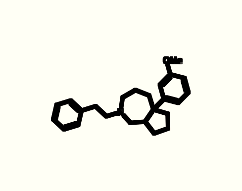 COc1cccc(C23CCCC2CN(CCc2ccccc2)CCC3)c1